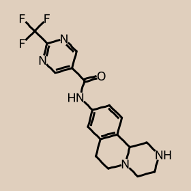 O=C(Nc1ccc2c(c1)CCN1CCNCC21)c1cnc(C(F)(F)F)nc1